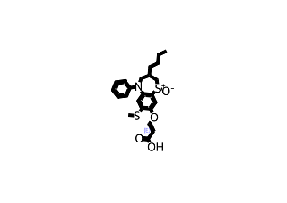 CCCCC1CN(c2ccccc2)c2cc(SC)c(O/C=C/C(=O)O)cc2[S+]([O-])C1